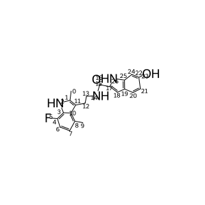 Cc1[nH]c2c(F)ccc(C)c2c1CCNC(=O)c1cc2ccc(O)cc2[nH]1